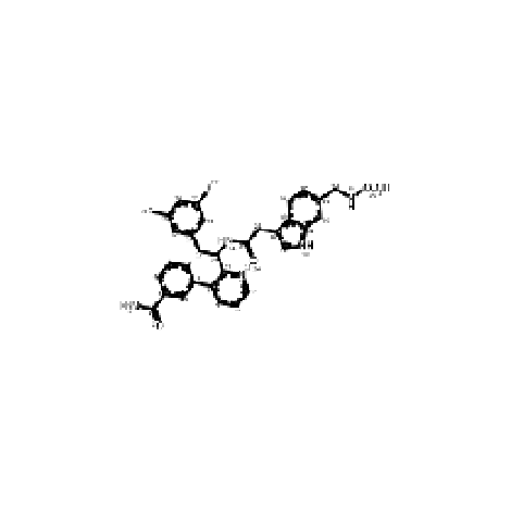 NC(=O)c1cccc(-c2cccnc2C(Cc2cc(F)cc(F)c2)NC(=O)Cc2c[nH]c3cc(CNC(=O)O)ccc23)c1